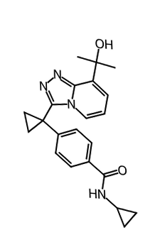 CC(C)(O)c1cccn2c(C3(c4ccc(C(=O)NC5CC5)cc4)CC3)nnc12